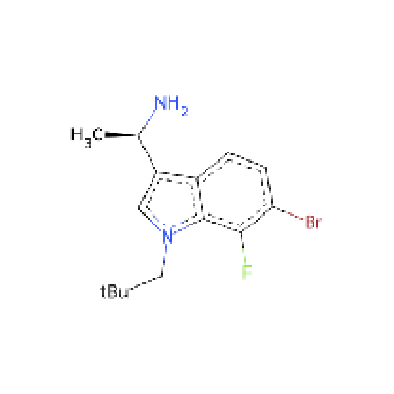 C[C@@H](N)c1cn(CC(C)(C)C)c2c(F)c(Br)ccc12